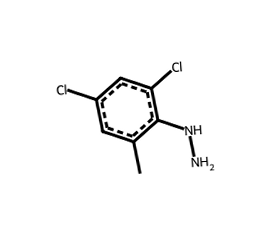 Cc1cc(Cl)cc(Cl)c1NN